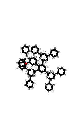 c1ccc(-c2cc(-c3ccccc3)nc(-c3cc(-c4nc(-c5ccccc5)cc(-c5ccccc5)n4)c(-c4ccc5c(c4)c4ccccc4n5-c4ccccc4)c(-c4nc(-c5ccccc5)cc(-c5ccccc5)n4)c3)n2)cc1